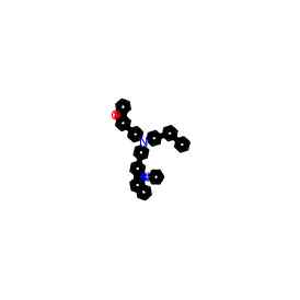 c1ccc(-c2cccc(-c3ccc(N(c4ccc(-c5ccc6oc7ccccc7c6c5)cc4)c4ccc(-c5ccc6c7ccc8ccccc8c7n(-c7ccccc7)c6c5)cc4)cc3)c2)cc1